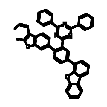 C/C=C\c1c(C)oc2cc(-c3ccc(-c4cccc5c4oc4ccccc45)cc3-c3nc(-c4ccccc4)nc(-c4ccccc4)n3)ccc12